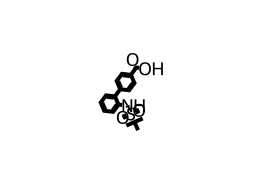 CC(C)(C)S(=O)(=O)Nc1ccccc1-c1ccc(C(=O)O)cc1